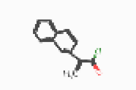 C=C(C(=O)Cl)c1ccc2ccccc2c1